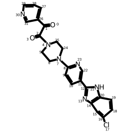 O=C(C(=O)N1CCN(c2ccc(-c3nc4cc(Cl)ccc4[nH]3)cn2)CC1)c1cccnc1